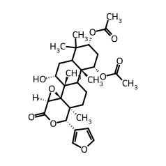 CC(=O)O[C@H]1C[C@@H](OC(C)=O)C(C)(C)C2C[C@@H](O)[C@]3(C)C(CC[C@@]4(C)[C@H](c5ccoc5)OC(=O)[C@H]5O[C@]543)[C@]21C